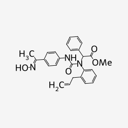 C=CCc1ccccc1N(C(=O)Nc1ccc(C(C)=NO)cc1)C(C(=O)OC)c1ccccc1